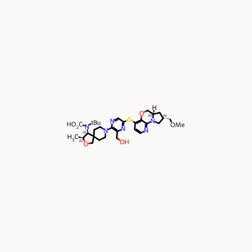 COC[C@H]1C[C@H]2COc3c(Sc4cnc(N5CCC6(CC5)CO[C@@H](C)[C@H]6N(C(=O)O)C(C)(C)C)c(CO)n4)ccnc3N2C1